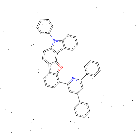 c1ccc(-c2cc(-c3ccccc3)nc(-c3cccc4c3oc3c4ccc4c3c3ccccc3n4-c3ccccc3)c2)cc1